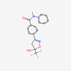 CN(C(=O)c1ccc(C2=NOC(O)(C(F)(F)F)C2)cc1)c1ccccc1